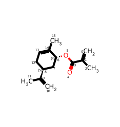 C=C(C)C(=O)O[C@@H]1C[C@@H](C(=C)C)CC=C1C